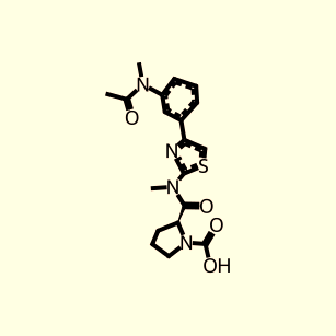 CC(=O)N(C)c1cccc(-c2csc(N(C)C(=O)[C@@H]3CCCN3C(=O)O)n2)c1